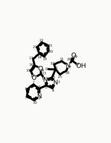 CC1(c2ncc(-c3ccccn3)n2C2OC=C(Cc3ccccc3)O2)CCN(C(=O)O)CC1